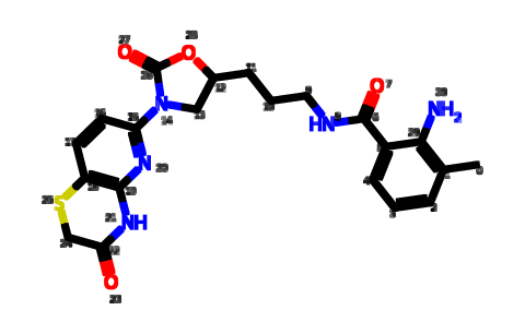 Cc1cccc(C(=O)NCCCC2CN(c3ccc4c(n3)NC(=O)CS4)C(=O)O2)c1N